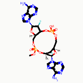 COP1(=O)OC[C@H]2O[C@@H](n3cnc4c(N)ncnc43)[C@@H](F)C2OP(=O)(O)OC[C@H]2O[C@@H](n3cnc4c(N)ncnc43)[C@@H](O1)C2F